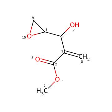 C=C(C(=O)OC)C(O)C1CO1